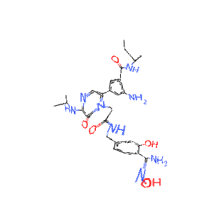 CCC(C)NC(=O)c1cc(N)cc(-c2cnc(NC(C)C)c(=O)n2CC(=O)NCc2ccc(/C(N)=N/O)c(O)c2)c1